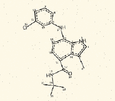 Cc1c[nH]c2c(Nc3cccc(Cl)c3)ncc(C(=O)NC(C)(C)C)c12